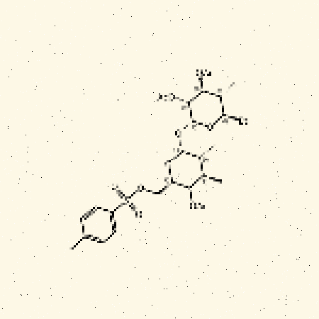 CC[C@H]1O[C@H](O[C@H]2O[C@H](COS(=O)(=O)c3ccc(C)cc3)C(OC(C)=O)[C@H](C)[C@H]2C)[C@H](OC(C)=O)[C@@H](OC(C)=O)[C@@H]1C